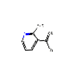 C=C(c1cccnc1C=O)C(C)C